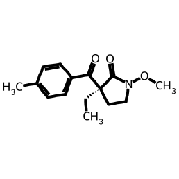 CC[C@@]1(C(=O)c2ccc(C)cc2)CCN(OC)C1=O